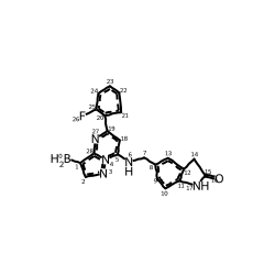 Bc1cnn2c(NCc3ccc4c(c3)CC(=O)N4)cc(-c3ccccc3F)nc12